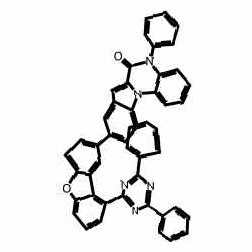 O=c1c2cc3cc(-c4ccc5oc6cccc(-c7nc(-c8ccccc8)nc(-c8ccccc8)n7)c6c5c4)ccc3n2c2ccccc2n1-c1ccccc1